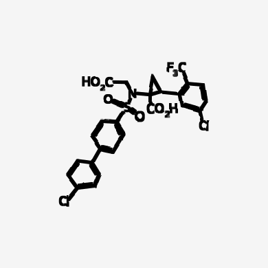 O=C(O)CN(C1(C(=O)O)CC1c1cc(Cl)ccc1C(F)(F)F)S(=O)(=O)c1ccc(-c2ccc(Cl)cc2)cc1